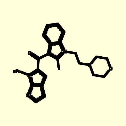 CCCn1c(C(=O)c2c(C)n(CCN3CCOCC3)c3ccccc23)cc2ccsc21